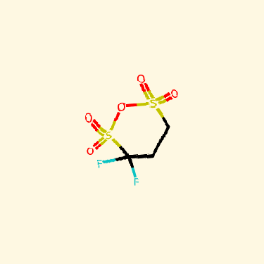 O=S1(=O)CCC(F)(F)S(=O)(=O)O1